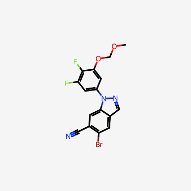 COCOc1cc(-n2ncc3cc(Br)c(C#N)cc32)cc(F)c1F